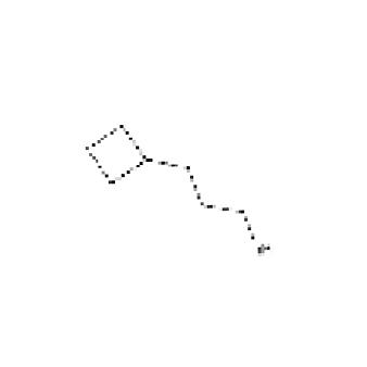 [CH2]CCCCC[C]1CCC1